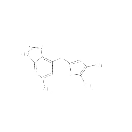 Cc1cc(Cc2cc(N)nc3[nH]nnc23)sc1C